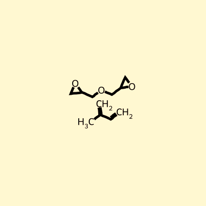 C(OCC1CO1)C1CO1.C=CC(=C)C